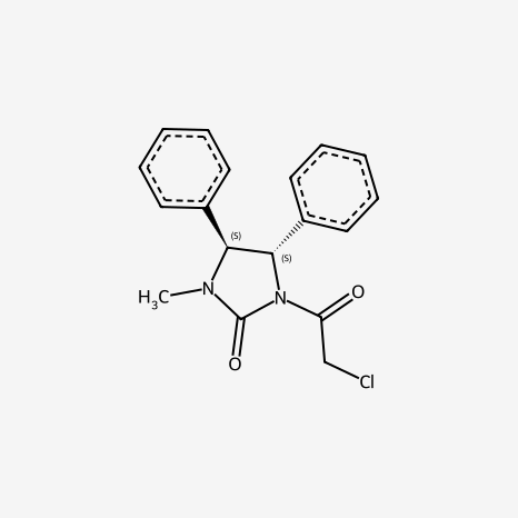 CN1C(=O)N(C(=O)CCl)[C@@H](c2ccccc2)[C@@H]1c1ccccc1